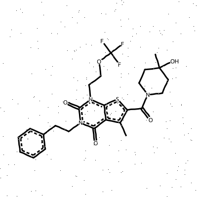 Cc1c(C(=O)N2CCC(C)(O)CC2)sc2c1c(=O)n(CCc1ccccc1)c(=O)n2CCOC(F)(F)F